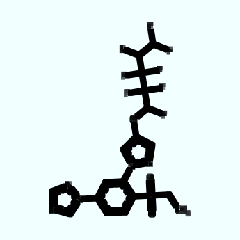 CCS(=O)(=O)c1ccc(-n2cncn2)cc1-n1cc(OC(F)C(F)(F)C(F)(F)C(F)C(F)F)cn1